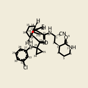 N#C[C@H](C[C@@H]1CCCNC1=O)NC(=O)[C@H]1[C@H]2CC[C@H](CC2(F)F)N1C(=O)C1(Nc2cccc(Cl)c2)CC1